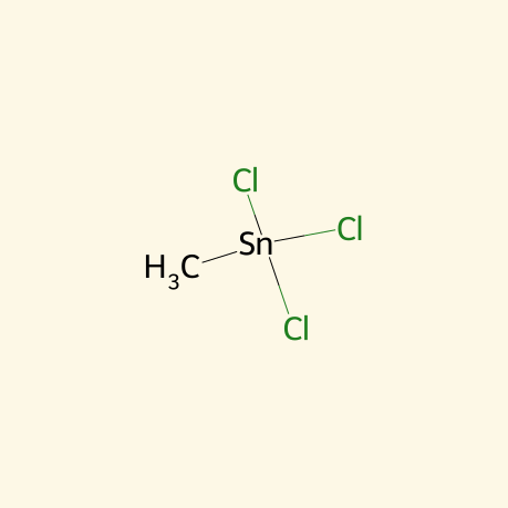 [CH3][Sn]([Cl])([Cl])[Cl]